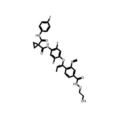 C=Nc1cc(C(=O)NOCCO)ccc1/C(=C\C)Oc1cc(F)c(NC(=O)C2(C(=O)Nc3ccc(F)cc3)CC2)cc1F